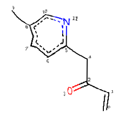 C=CC(=O)Cc1ccc(C)cn1